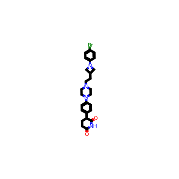 O=C1CCC(c2ccc(N3CCN(CCC4CN(c5ccc(Br)cc5)C4)CC3)cc2)C(=O)N1